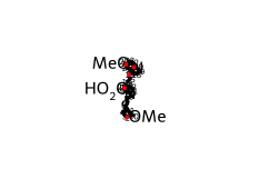 COc1cccc(SCCCN2CC[C@@H](CCCc3ccnc4ccc(OC)cc34)[C@@H](C(=O)O)C2)c1